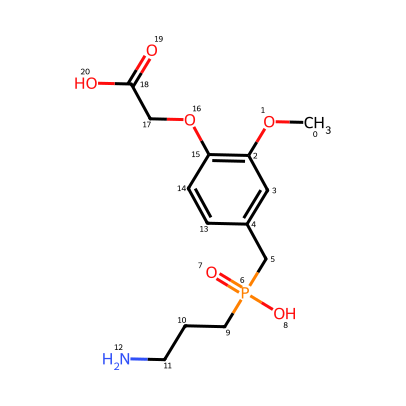 COc1cc(CP(=O)(O)CCCN)ccc1OCC(=O)O